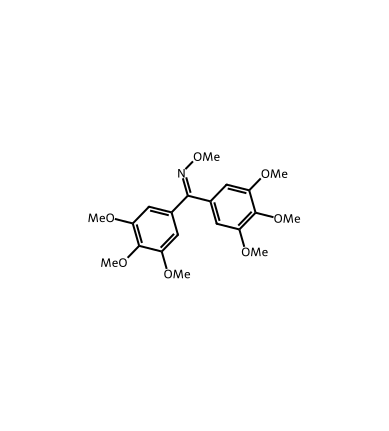 CON=C(c1cc(OC)c(OC)c(OC)c1)c1cc(OC)c(OC)c(OC)c1